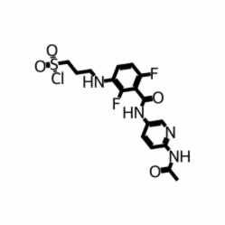 CC(=O)Nc1ccc(NC(=O)c2c(F)ccc(NCCCS(=O)(=O)Cl)c2F)cn1